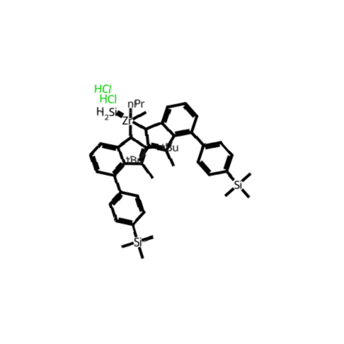 CC[CH2][Zr]([CH3])(=[SiH2])([CH]1C(C(C)(C)C)=C(C)c2c(-c3ccc([Si](C)(C)C)cc3)cccc21)[CH]1C(C(C)(C)C)=C(C)c2c(-c3ccc([Si](C)(C)C)cc3)cccc21.Cl.Cl